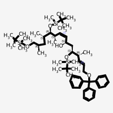 C[C@@H](CO[Si](C)(C)C(C)(C)C)C[C@H](C)[C@@H](O[Si](C)(C)C(C)(C)C)[C@@H](C)/C=C\[C@@H](O)C[C@H](O[Si](C)(C)C(C)(C)C)[C@H](C)/C=C/COC(c1ccccc1)(c1ccccc1)c1ccccc1